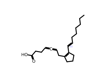 CCCCCC/C=C/C1=C(CC=C=CCCC(=O)O)CCC1